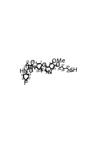 COc1cc2c(Oc3ccc(NC(=O)C4(C(=O)Nc5ccc(F)cc5)CC4)cc3F)ccnc2cc1OCCCCCS